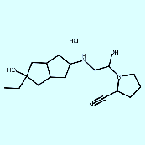 CCC1(O)CC2CC(NCC(O)N3CCCC3C#N)CC2C1.Cl